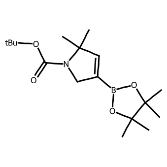 CC(C)(C)OC(=O)N1CC(B2OC(C)(C)C(C)(C)O2)=CC1(C)C